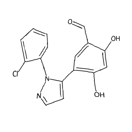 O=Cc1cc(-c2ccnn2-c2ccccc2Cl)c(O)cc1O